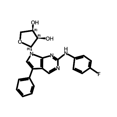 O[C@@H]1[C@H](O)CO[C@H]1n1cc(-c2ccccc2)c2cnc(Nc3ccc(F)cc3)nc21